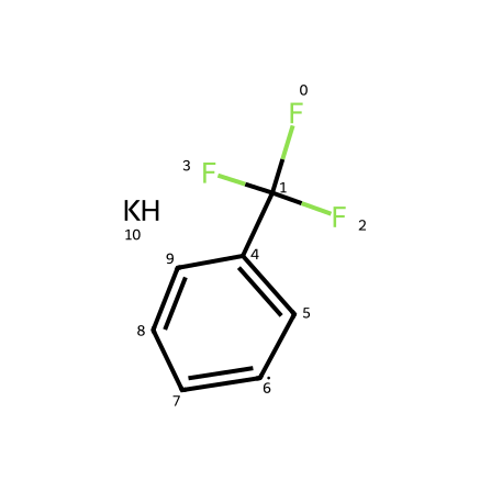 FC(F)(F)c1c[c]ccc1.[KH]